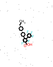 CCC[C@H]1CC[C@H](C2CCC(c3cc(F)c(C(=O)O)c(F)c3-c3cc(F)c(F)c(F)c3)CC2)CC1